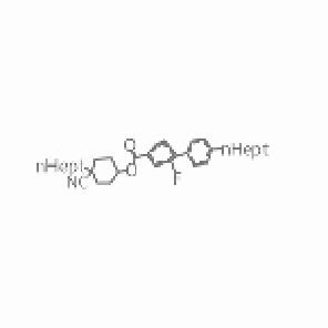 CCCCCCCc1ccc(-c2ccc(C(=O)OC3CCC(C#N)(CCCCCCC)CC3)cc2F)cc1